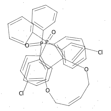 O=P(c1ccccc1)(c1ccccc1)c1ccc(Cl)c2c1-c1c(P(=O)(c3ccccc3)c3ccccc3)ccc(Cl)c1OC/C=C\CO2